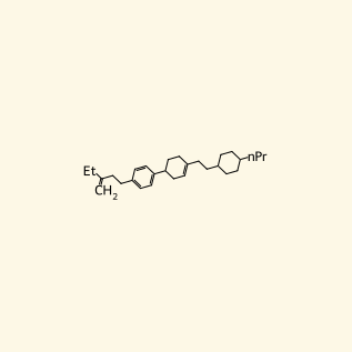 C=C(CC)CCc1ccc(C2CC=C(CCC3CCC(CCC)CC3)CC2)cc1